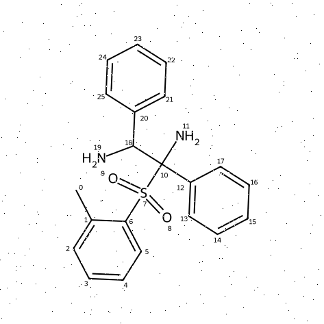 Cc1ccccc1S(=O)(=O)C(N)(c1ccccc1)C(N)c1ccccc1